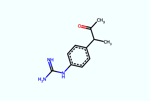 CC(=O)C(C)c1ccc(NC(=N)N)cc1